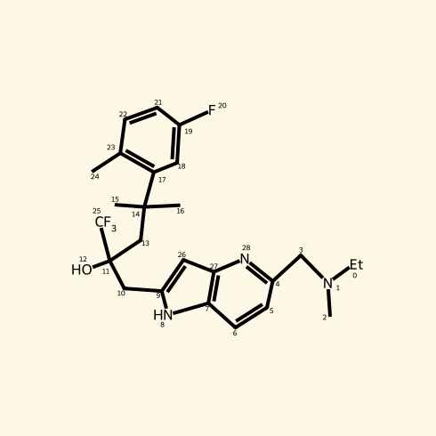 CCN(C)Cc1ccc2[nH]c(CC(O)(CC(C)(C)c3cc(F)ccc3C)C(F)(F)F)cc2n1